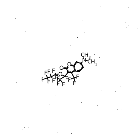 CN(C)c1ccc2c(C(F)(F)F)c(C(F)(OC(F)(F)C(F)(F)C(F)(F)F)C(F)(F)F)c(=O)oc2c1